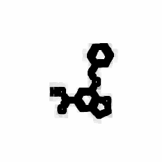 O=C(O)c1cc2c(c(OCc3ccccc3)c1)OCC2